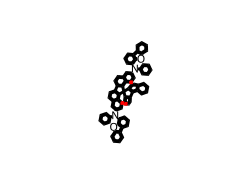 c1ccc(N(c2ccc3c4c(ccc3c2)-c2ccc3cc(N(c5ccccc5)c5cccc6c5oc5ccccc56)ccc3c2C42c3ccccc3-c3c2ccc2ccccc32)c2cccc3c2oc2ccccc23)cc1